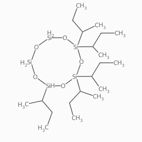 CCC(C)[SiH]1O[SiH2]O[SiH2]O[Si](C(C)CC)(C(C)CC)O[Si](C(C)CC)(C(C)CC)O1